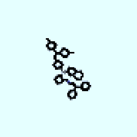 Cc1ccc(C(=Cc2ccc(N(c3ccc4c(c3)CCCC4)c3ccccc3/C=C/C=C(c3ccccc3)c3ccccc3)cc2)c2ccc(C)cc2)cc1